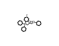 OC(COc1ccccc1)C[P+](c1ccccc1)(c1ccccc1)c1ccccc1.[I-]